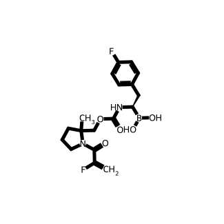 C=C(F)C(=O)N1CCCC1(C)COC(=O)N[C@@H](Cc1ccc(F)cc1)B(O)O